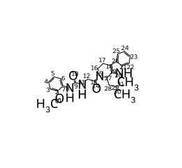 COc1ccccc1NC(=O)NCC(=O)N1CCc2c([nH]c3ccccc23)C1CC(C)C